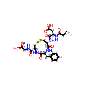 CCC(=O)N[C@@H](CC(=O)O)C(=O)N[C@H]1CSSC[C@@H](C(=O)NCC(=O)O)NC(=O)[C@H](Cc2ccccc2)NC1=O